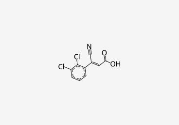 N#CC(=CC(=O)O)c1cccc(Cl)c1Cl